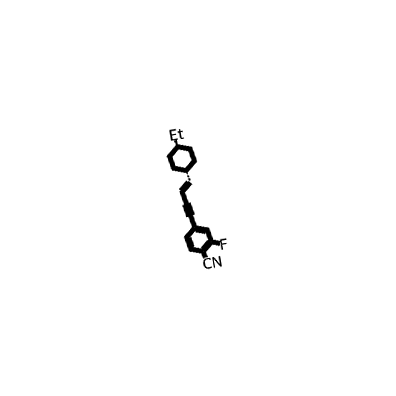 CC[C@H]1CC[C@H](/C=C/C#Cc2ccc(C#N)c(F)c2)CC1